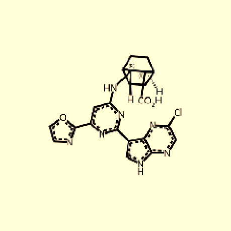 O=C(O)[C@@H]1C2CCC(CC2)[C@H]1Nc1cc(-c2ncco2)nc(-c2c[nH]c3ncc(Cl)nc23)n1